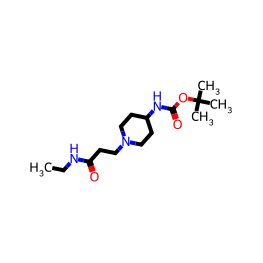 CCNC(=O)CCN1CCC(NC(=O)OC(C)(C)C)CC1